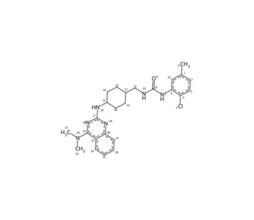 Cc1ccc(Cl)c(NC(=O)NCC2CCC(Nc3nc(N(C)C)c4ccccc4n3)CC2)c1